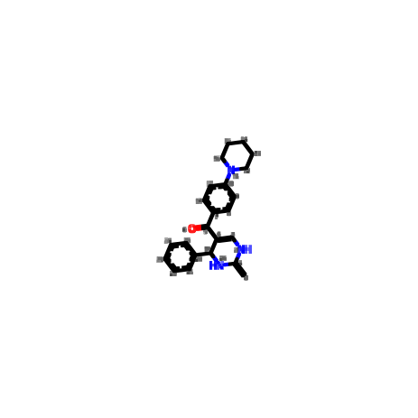 C=C1NC=C(C(=O)c2ccc(N3CCCCC3)cc2)C(c2ccccc2)N1